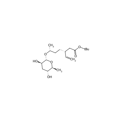 C=C[C@H](CC[C@@H](C)O[C@@H]1O[C@@H](C)[C@H](O)C[C@H]1O)CC(=O)OC(C)(C)C